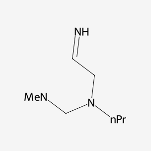 CCCN(CC=N)CNC